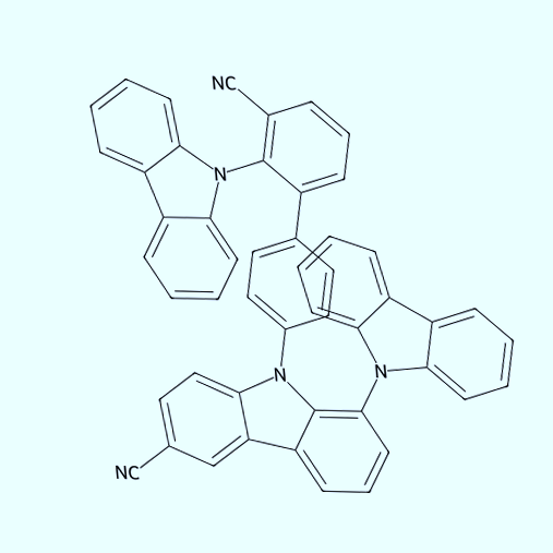 N#Cc1ccc2c(c1)c1cccc(-n3c4ccccc4c4ccccc43)c1n2-c1ccc(-c2cccc(C#N)c2-n2c3ccccc3c3ccccc32)cc1